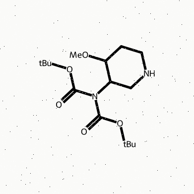 COC1CCNCC1N(C(=O)OC(C)(C)C)C(=O)OC(C)(C)C